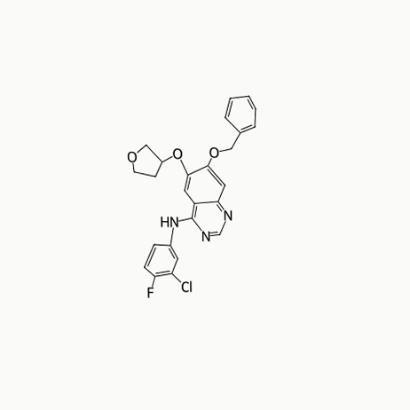 Fc1ccc(Nc2ncnc3cc(OCc4ccccc4)c(OC4CCOC4)cc23)cc1Cl